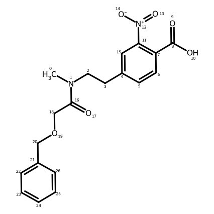 CN(CCc1ccc(C(=O)O)c([N+](=O)[O-])c1)C(=O)COCc1ccccc1